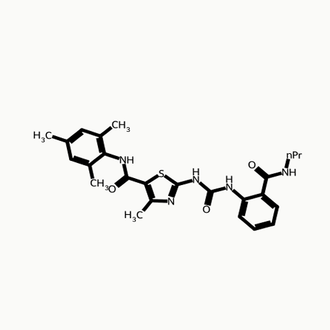 CCCNC(=O)c1ccccc1NC(=O)Nc1nc(C)c(C(=O)Nc2c(C)cc(C)cc2C)s1